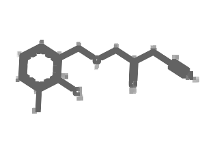 Cc1cccc(COCC(=O)CC#N)c1Cl